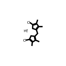 CC1=C(Cl)CC(CC2=C(C)C(C)=C(Cl)C2)=C1C.[Hf]